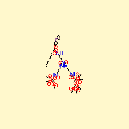 C=CC(=O)OCC(COCC(COC(=O)C=C)(COC(=O)C=C)COC(=O)NCCCCCCNC(=O)N(CCCCCCNC(=O)OC(CCCCCCCCCCCC)COc1ccc([I+]c2ccccc2)cc1)C(=O)NCCCCCCNC(=O)OCC(COC(=O)C=C)(COC(=O)C=C)COC(=O)C=C)(COC(=O)C=C)COC(=O)C=C